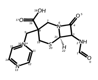 O=CNC1C(=O)N2CC(C[n+]3ccncc3)(C(=O)O)CS[C@H]12